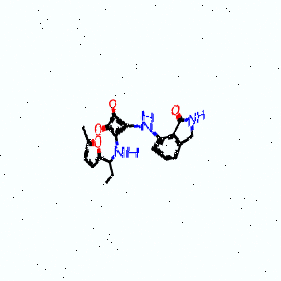 CCC(Nc1c(Nc2cccc3c2C(=O)NC3)c(=O)c1=O)c1ccc(C)o1